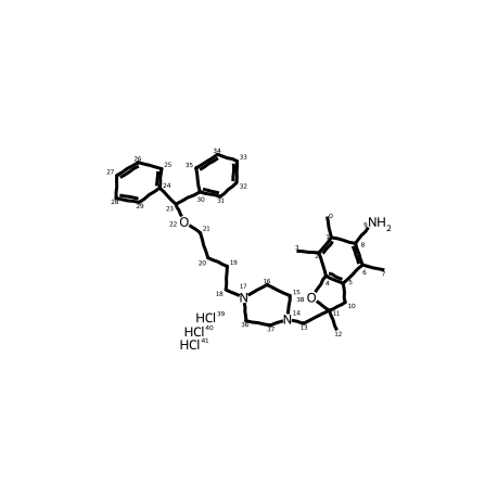 Cc1c(C)c2c(c(C)c1N)CC(C)(CN1CCN(CCCCOC(c3ccccc3)c3ccccc3)CC1)O2.Cl.Cl.Cl